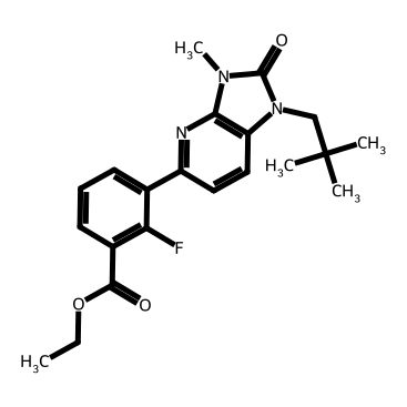 CCOC(=O)c1cccc(-c2ccc3c(n2)n(C)c(=O)n3CC(C)(C)C)c1F